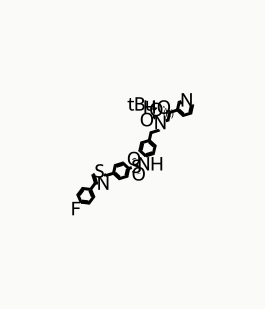 CC(C)(C)OC(=O)N(CCc1ccc(NS(=O)(=O)c2ccc(-c3nc(-c4ccc(F)cc4)cs3)cc2)cc1)C[C@H](O)c1cccnc1